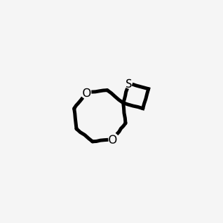 C1COCC2(CCS2)COC1